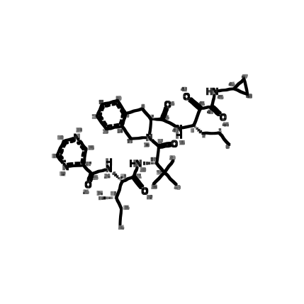 CCC[C@H](NC(=O)[C@@H]1Cc2ccccc2CN1C(=O)[C@@H](NC(=O)[C@@H](NC(=O)c1cnccn1)[C@@H](C)CC)C(C)(C)C)C(=O)C(=O)NC1CC1